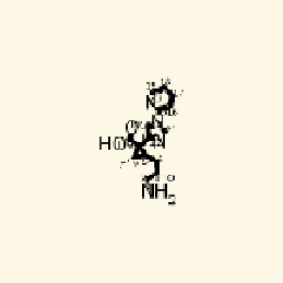 C[C@H](CN)CC1[C@H](C)C1(C(=O)O)c1cn(-c2ccccn2)cn1